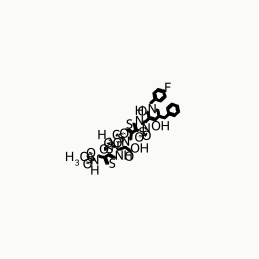 CS(=O)(=O)NCc1csc2c1S(=O)(=O)N=C(C(C(=O)O)N(Cc1csc3c1S(=O)(=O)N=C(C1=C(O)C(Cc4ccccc4)CN(Cc4ccc(F)cc4)C1=O)N3)S(C)(=O)=O)N2